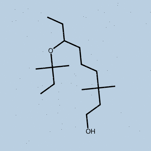 CCC(CCCC(C)(C)CCO)OC(C)(C)CC